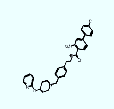 O=C(NCCc1ccc(CN2CCC(Oc3ccccn3)CC2)cc1)c1ccc(-c2ccc(Cl)cc2)cc1[N+](=O)[O-]